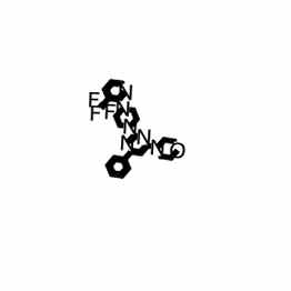 FC(F)(F)c1cccnc1N1CCN(c2nc(-c3ccccc3)cc(N3CCOCC3)n2)CC1